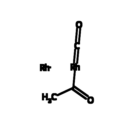 C[C](=O)[Rh]=[C]=O.[Rh]